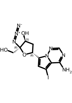 [N-]=[N+]=N[C@]1(CO)O[C@@H](c2cc(I)c3c(N)ncnn23)C[C@@H]1O